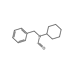 O=[C]N(Cc1ccccc1)C1CCCCC1